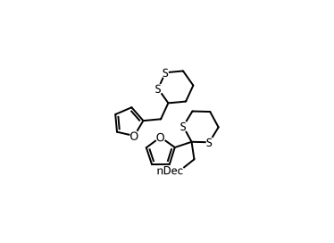 CCCCCCCCCCCC1(c2ccco2)SCCCS1.c1coc(CC2CCCSS2)c1